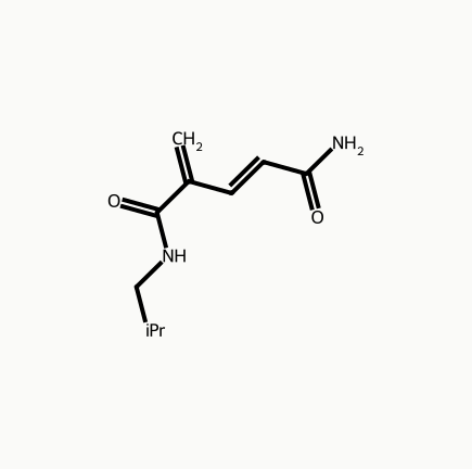 C=C(C=CC(N)=O)C(=O)NCC(C)C